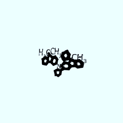 CC1(C)c2ccccc2-c2cc(-n3c4ccccc4c4cc5c(cc43)C(C)(c3ccccc3)c3ccccc3-5)ccc21